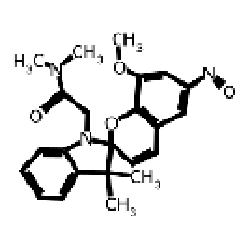 COc1cc(N=O)cc2c1OC1(C=C2)N(CC(=O)N(C)C)c2ccccc2C1(C)C